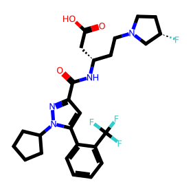 O=C(O)C[C@H](CCN1CC[C@H](F)C1)NC(=O)c1cc(-c2ccccc2C(F)(F)F)n(C2CCCC2)n1